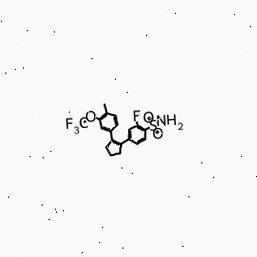 Cc1ccc(C2=C(c3ccc(S(N)(=O)=O)c(F)c3)CCC2)cc1OC(F)(F)F